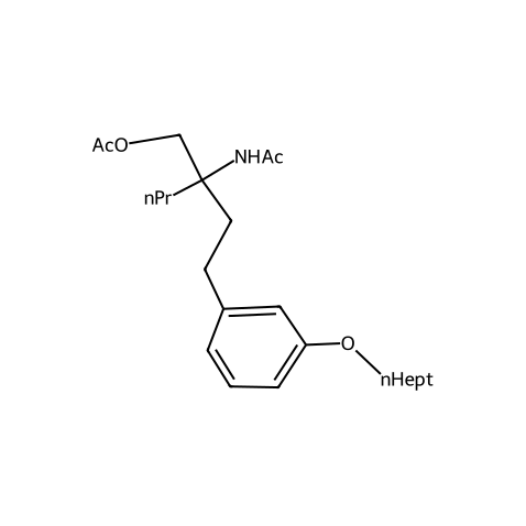 CCCCCCCOc1cccc(CCC(CCC)(COC(C)=O)NC(C)=O)c1